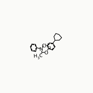 CC(Oc1ccc(C2CCCCC2)cc1)N(C)c1ccccc1